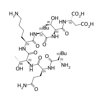 CC[C@H](C)[C@H](N)C(=O)N[C@@H](CCC(N)=O)C(=O)N[C@H](C(=O)N[C@@H](CCCCN)C(=O)N[C@H](C(=O)N[C@H](C(=O)N[C@@H](CC(=O)O)C(=O)O)[C@@H](C)O)[C@@H](C)CC)[C@@H](C)O